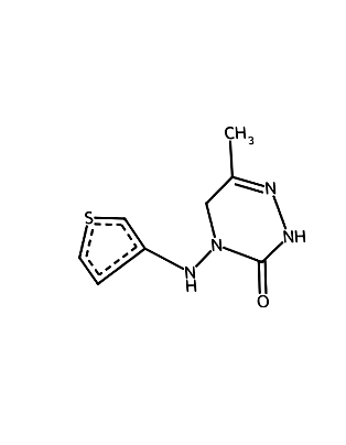 CC1=NNC(=O)N(Nc2ccsc2)C1